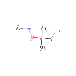 CC(=O)NOC(C)(C)CO